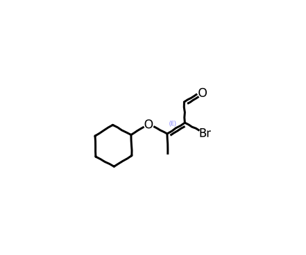 C/C(OC1CCCCC1)=C(\Br)C=O